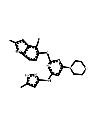 Cc1cc(Nc2cc(N3CCOCC3)nc(Oc3ccc4[nH]c(C)cc4c3F)n2)n[nH]1